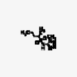 CCCC(C)S(=O)(=O)Nc1nnnn1C